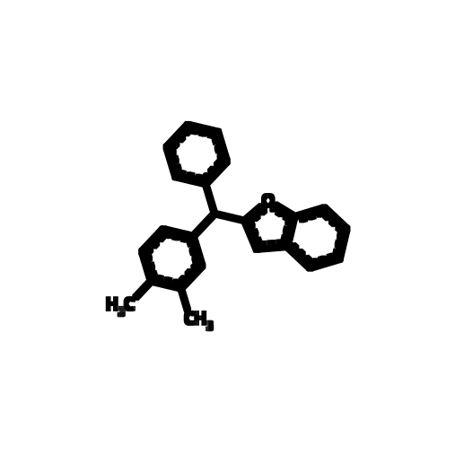 Cc1ccc(C(c2ccccc2)c2cc3ccccc3o2)cc1C